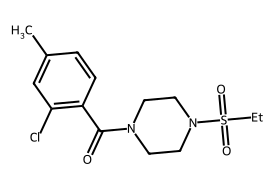 CCS(=O)(=O)N1CCN(C(=O)c2ccc(C)cc2Cl)CC1